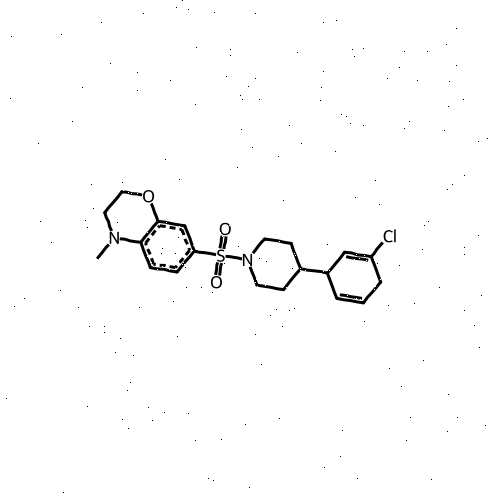 CN1CCOc2cc(S(=O)(=O)N3CCC(C4C=CCC(Cl)=C4)CC3)ccc21